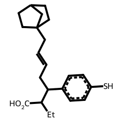 CCC(C(=O)O)C(CC=CCC12CCC(CC1)C2)c1ccc(S)cc1